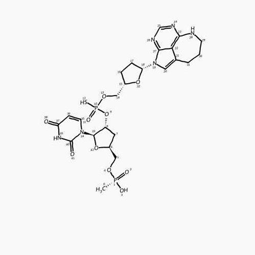 C[P@](=O)(O)OC[C@@H]1C[C@@H](OP(=O)(S)OC[C@@H]2CC[C@H](n3cc4c5c(ncnc53)NCCC4)O2)[C@H](n2ccc(=O)[nH]c2=O)O1